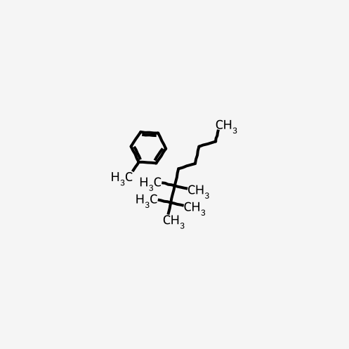 CCCCCC(C)(C)C(C)(C)C.Cc1ccccc1